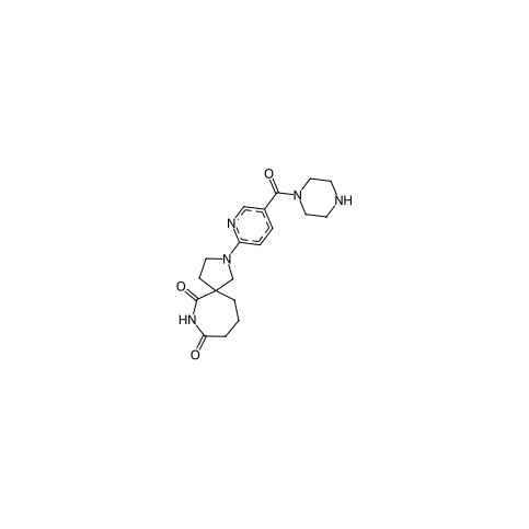 O=C1CCCC2(CCN(c3ccc(C(=O)N4CCNCC4)cn3)C2)C(=O)N1